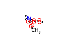 Cc1ccc(OC(=O)C2CCC(C(=O)Oc3ccc(OC(=O)C4CCC(C(=O)Oc5ccccc5)CC4)cc3/C=N/N=C3c4ccccc4-c4ccccc43)CC2)cc1